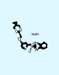 [NaH].[O-][S+](Cc1cc(OCC2OCC3(CC3)CO2)ccn1)c1nc2ccccc2[nH]1